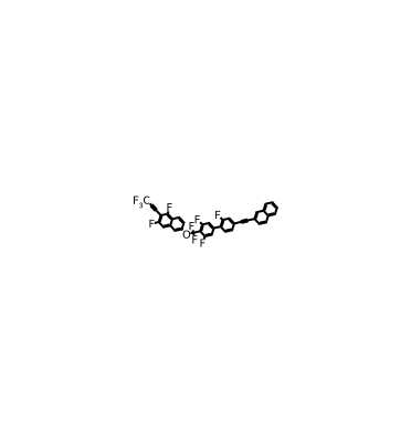 Fc1cc(C#Cc2ccc3ccccc3c2)ccc1-c1cc(F)c(C(F)(F)Oc2ccc3c(F)c(C#CC(F)(F)F)c(F)cc3c2)c(F)c1